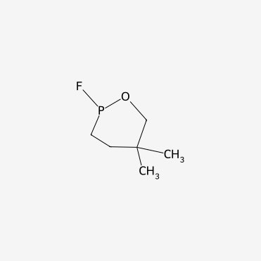 CC1(C)CCP(F)OC1